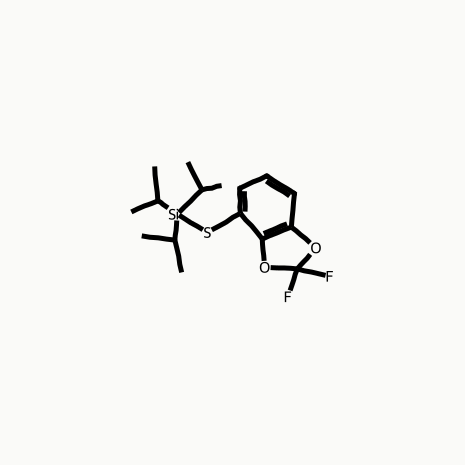 CC(C)[Si](Sc1cccc2c1OC(F)(F)O2)(C(C)C)C(C)C